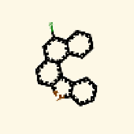 Brc1cc2ccc3sc4ccccc4c3c2c2ccccc12